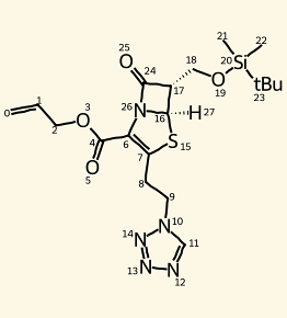 C=CCOC(=O)C1=C(CCn2cnnn2)S[C@@H]2[C@@H](CO[Si](C)(C)C(C)(C)C)C(=O)N12